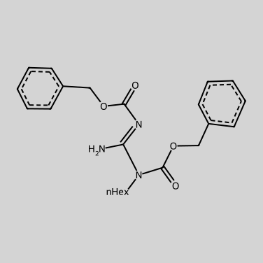 [CH2]CCCCCN(C(=O)OCc1ccccc1)C(N)=NC(=O)OCc1ccccc1